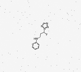 FC(CCNc1ccccc1)n1ncnn1